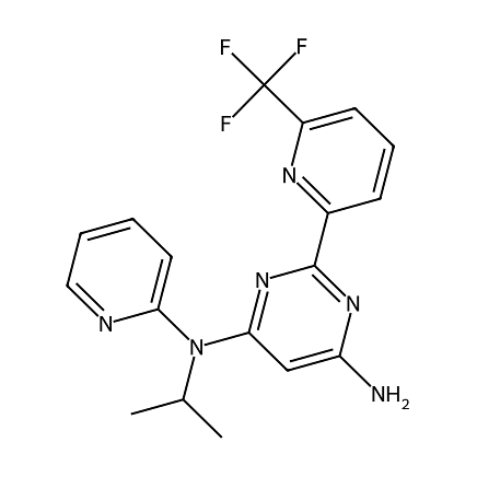 CC(C)N(c1ccccn1)c1cc(N)nc(-c2cccc(C(F)(F)F)n2)n1